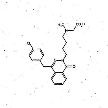 CN(CCCCn1nc(Cc2ccc(Cl)cc2)c2ccccc2c1=O)CC(=O)O